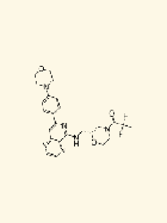 CC(F)(F)C(=O)N1CCO[C@H](CNc2nc(-c3ccc(N4CCOCC4)cc3)cc3nccnc23)C1